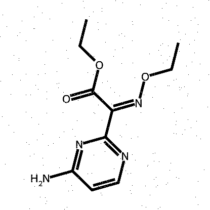 CCO/N=C(\C(=O)OCC)c1nccc(N)n1